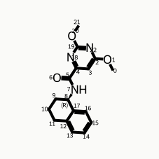 COc1cc(C(=O)N[C@@H]2CCCc3ccccc32)nc(OC)n1